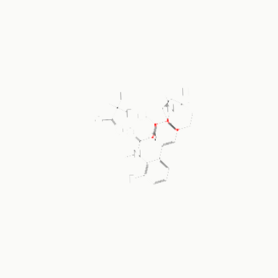 CN(C(=O)OC[C@]12CCC[C@H](CC1)[N+]2(C)C)c1c(F)cccc1-c1cccc(Cl)c1.O=C([O-])C(F)(F)F